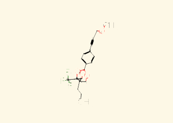 CCCC12COC(c3ccc(C#CCOC)cc3)(OC1)OC2C(F)(F)F